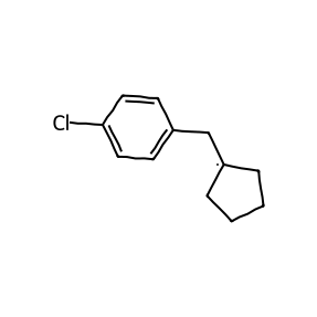 Clc1ccc(C[C]2CCCC2)cc1